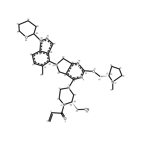 C=CC(=O)N1CCN(c2nc(OC[C@@H]3CCCN3C)nc3c2CN(c2c(C)ccc4c2cnn4C2CCCCO2)C3)C[C@@H]1CC#N